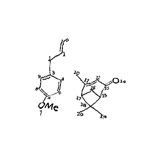 C=CCc1ccc(OC)cc1.CC1=CC(=O)C2CC1C2(C)C